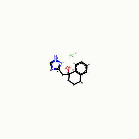 Cl.OC1(Cc2nc[nH]n2)CCCc2ccccc21